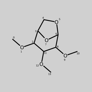 COC1C2COC(O2)C(OC)C1OC